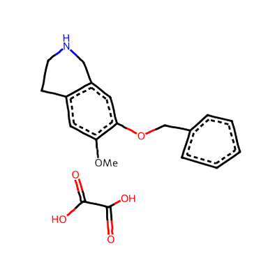 COc1cc2c(cc1OCc1ccccc1)CNCC2.O=C(O)C(=O)O